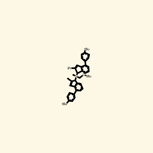 CC1=Cc2c(-c3ccc(C(C)(C)C)cc3)cccc2C1[Si](C)(COC(C)(C)C)C1C(C(C)C)=Cc2c(-c3ccc(C(C)(C)C)cc3)cccc21